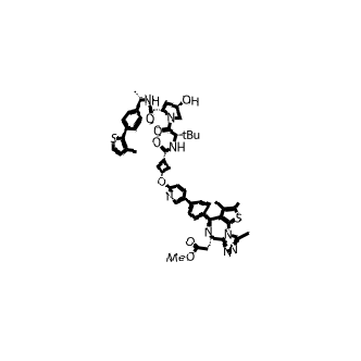 COC(=O)C[C@@H]1N=C(c2ccc(-c3ccc(O[C@H]4C[C@@H](C(=O)N[C@H](C(=O)N5C[C@H](O)C[C@H]5C(=O)N[C@@H](C)c5ccc(-c6sccc6C)cc5)C(C)(C)C)C4)nc3)cc2)c2c(sc(C)c2C)-n2c(C)nnc21